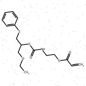 C=CC(=O)OCCNC(=O)OC(COCC)CSc1ccccc1